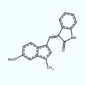 COc1ccc2c(/C=C3\C(=O)Nc4ccccc43)cn(C)c2c1